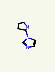 c1cn(C2CCC[N]2)cn1